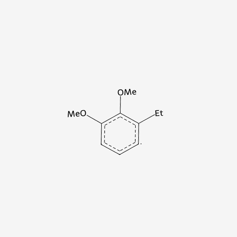 CCc1[c]ccc(OC)c1OC